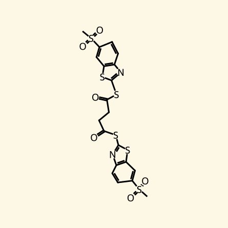 CS(=O)(=O)c1ccc2nc(SC(=O)CCC(=O)Sc3nc4ccc(S(C)(=O)=O)cc4s3)sc2c1